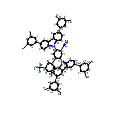 Cc1cc(C)cc(-c2ccc3c(c2)c2cc(-c4cc(C)cc(C)c4)ccc2n3-c2cc(-c3cc(C)cc(C(F)(F)F)c3)c(-n3c4ccc(-c5cc(C)cc(C)c5)cc4c4cc(-c5cc(C)cc(C)c5)ccc43)cc2C#N)c1